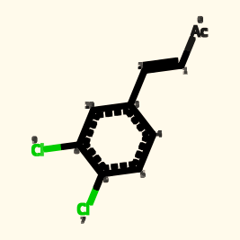 CC(=O)C=Cc1ccc(Cl)c(Cl)c1